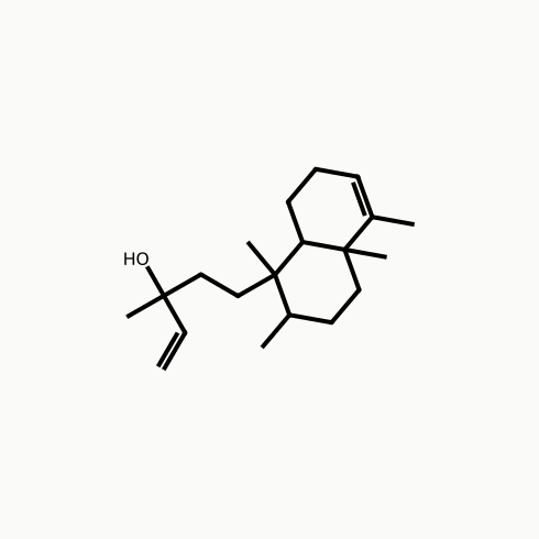 C=CC(C)(O)CCC1(C)C(C)CCC2(C)C(C)=CCCC21